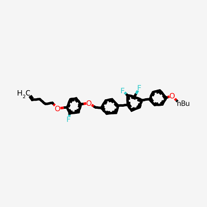 C=CCCCOc1ccc(OCc2ccc(-c3ccc(-c4ccc(OCCCC)cc4)c(F)c3F)cc2)cc1F